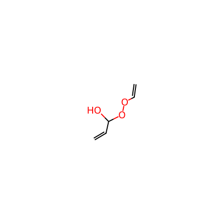 C=COOC(O)C=C